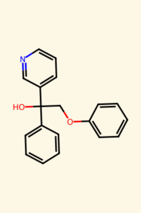 OC(COc1ccccc1)(c1ccccc1)c1cccnc1